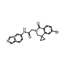 O=C(CN1CC2(CC2)c2cc(Br)ccc2C1=O)Nc1ccc2cncn2c1